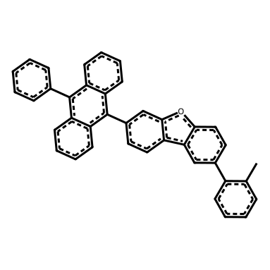 Cc1ccccc1-c1ccc2oc3cc(-c4c5ccccc5c(-c5ccccc5)c5ccccc45)ccc3c2c1